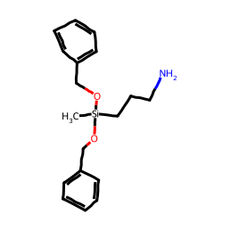 C[Si](CCCN)(OCc1ccccc1)OCc1ccccc1